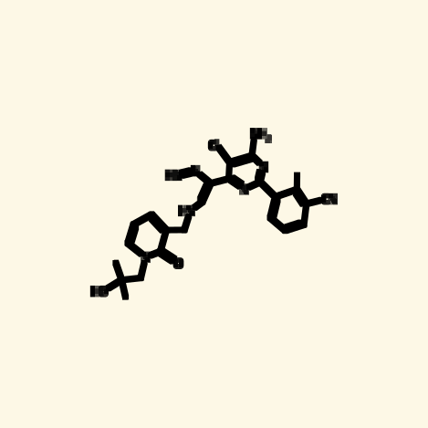 Cc1c(C#N)cccc1-c1nc(N)c(Cl)c(/C(=C/NCc2cccn(CC(C)(C)O)c2=O)N=N)n1